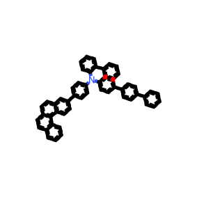 c1ccc(-c2ccc(-c3ccc(N(c4ccc(-c5ccc6c(ccc7ccc8ccccc8c76)c5)cc4)c4ccccc4-c4ccccc4)cc3)cc2)cc1